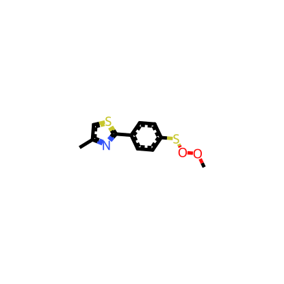 COOSc1ccc(-c2nc(C)cs2)cc1